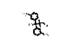 CC(C)(CO)C(O)(c1cccc(N)c1)c1cccc(N)c1